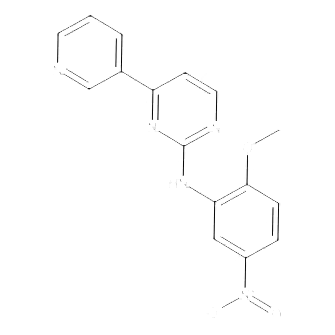 COc1ccc([N+](=O)[O-])cc1Nc1nccc(-c2cccnc2)n1